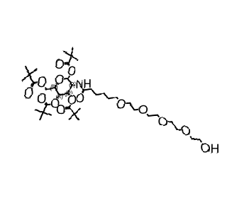 CC(C)(C)C(=O)OC[C@H]1OC(OC(=O)C(C)(C)C)[C@H](NC(=O)CCCCCOCCOCCOCCOCCO)[C@@H](OC(=O)C(C)(C)C)[C@H]1OC(=O)C(C)(C)C